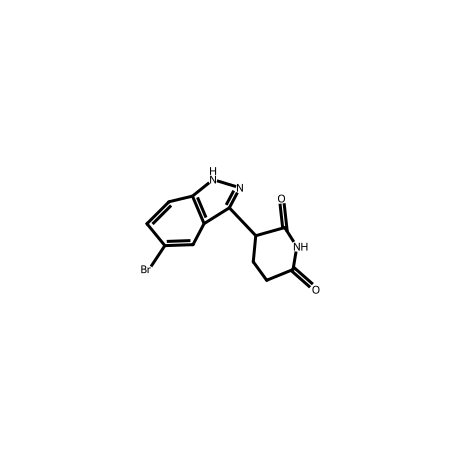 O=C1CCC(c2n[nH]c3ccc(Br)cc23)C(=O)N1